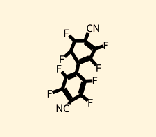 N#CC1=C(F)C(F)=C(c2c(F)c(F)c(C#N)c(F)c2F)C(F)C1F